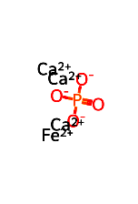 O=P([O-])([O-])[O-].[Ca+2].[Ca+2].[Ca+2].[Fe+2]